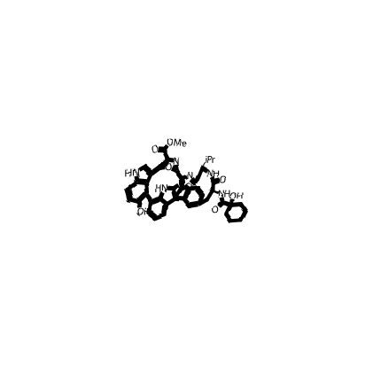 COC(=O)c1nc2oc1-c1c[nH]c3ccc(O)c(c13)-c1cccc3c1NC1Oc4ccc5cc4C31c1oc(nc1-2)[C@H](C(C)C)NC(=O)[C@@H](NC(=O)C1(O)CCCCC1)C5